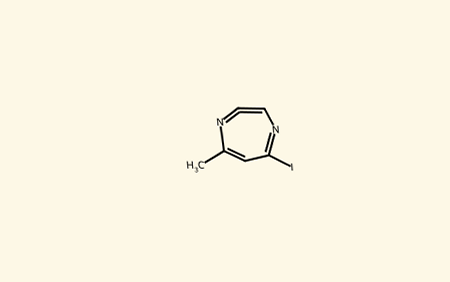 CC1=CC(I)=NC=C=N1